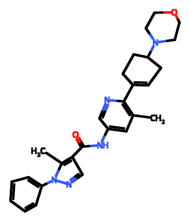 Cc1cc(NC(=O)c2cnn(-c3ccccc3)c2C)cnc1C1=CCC(N2CCOCC2)CC1